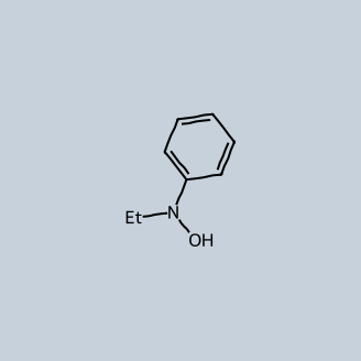 CCN(O)c1ccccc1